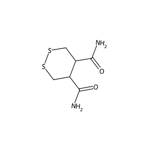 NC(=O)C1CSSCC1C(N)=O